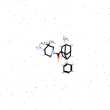 CC1(C)CN(C(=O)C23CC4C[C@](C)(C2)C[C@@](c2ccccc2)(C4)C3)CC[C@@H]1N